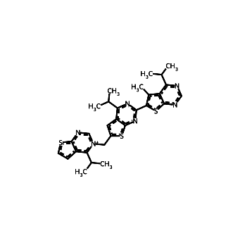 Cc1c(-c2nc(C(C)C)c3cc(C[n+]4cnc5sccc5c4C(C)C)sc3n2)sc2ncnc(C(C)C)c12